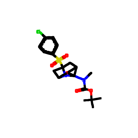 CN(C(=O)OC(C)(C)C)C1CC2CC3(S(=O)(=O)c4ccc(Cl)cc4)CC1CN23